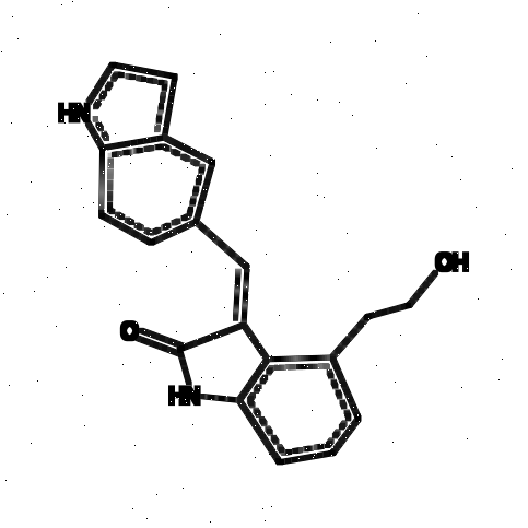 O=C1Nc2cccc(CCO)c2C1=Cc1ccc2[nH]ccc2c1